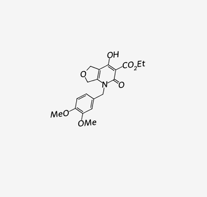 CCOC(=O)c1c(O)c2c(n(Cc3ccc(OC)c(OC)c3)c1=O)COC2